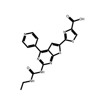 CCNC(=O)Nc1nc(-c2ccncc2)c2cc(-c3nc(C(=O)O)cs3)sc2n1